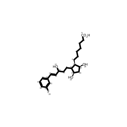 O=C(O)CCCCCC[C@@H]1C(CCC(O)C=Cc2cccc(F)c2)[C@H](O)C[C@@H]1O